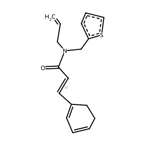 C=CCN(Cc1cccs1)C(=O)/C=C/C1=CC=CCC1